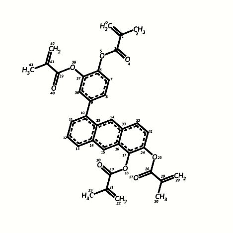 C=C(C)C(=O)Oc1ccc(-c2cccc3cc4c(OC(=O)C(=C)C)c(OC(=O)C(=C)C)ccc4cc23)cc1OC(=O)C(=C)C